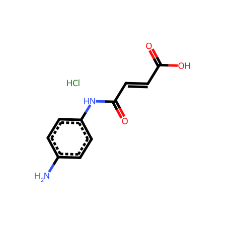 Cl.Nc1ccc(NC(=O)C=CC(=O)O)cc1